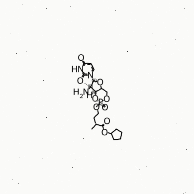 CC(CCO[P@]1(=O)OCC2O[C@@H](n3ccc(=O)[nH]c3=O)[C@](C)(N)[C@@H]2O1)C(=O)OC1CCCC1